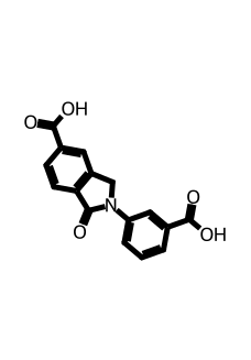 O=C(O)c1cccc(N2Cc3cc(C(=O)O)ccc3C2=O)c1